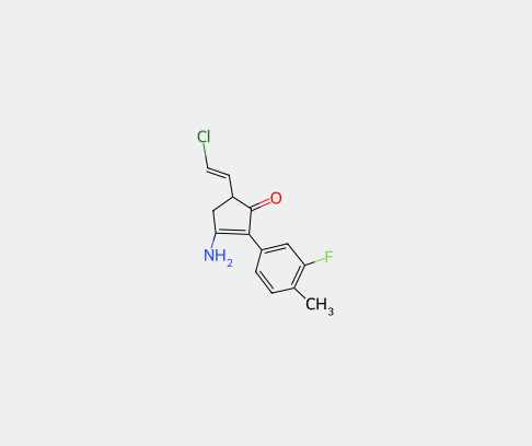 Cc1ccc(C2=C(N)CC(/C=C/Cl)C2=O)cc1F